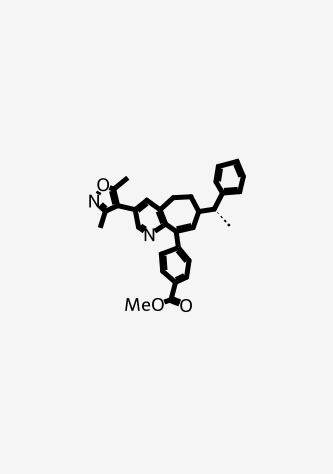 COC(=O)c1ccc(C2=CC([C@@H](C)c3ccccc3)CCc3cc(-c4c(C)noc4C)cnc32)cc1